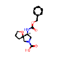 O=C(N[C@H]1CN(C(=O)O)CC12CCCO2)OCc1ccccc1